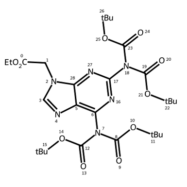 CCOC(=O)Cn1cnc2c(N(C(=O)OC(C)(C)C)C(=O)OC(C)(C)C)nc(N(C(=O)OC(C)(C)C)C(=O)OC(C)(C)C)nc21